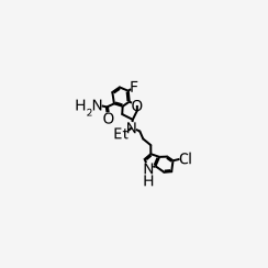 CCN(CCCc1c[nH]c2ccc(Cl)cc12)C1COc2c(F)ccc(C(N)=O)c2C1